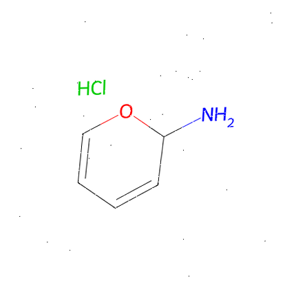 Cl.NC1C=CC=CO1